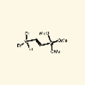 CC[Si](/C=C/[Si](OC)(OC)OC)(CC)CC